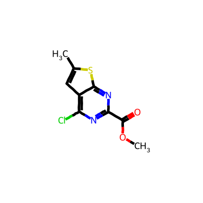 COC(=O)c1nc(Cl)c2cc(C)sc2n1